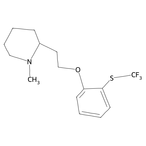 CN1CCCCC1CCOc1ccccc1SC(F)(F)F